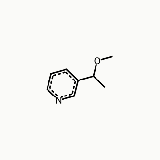 COC(C)c1[c]nccc1